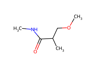 CNC(=O)C(C)COC